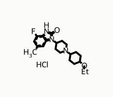 CCOC1CCC(N2CCC(n3c(=O)[nH]c4c(F)cc(C)cc43)CC2)CC1.Cl